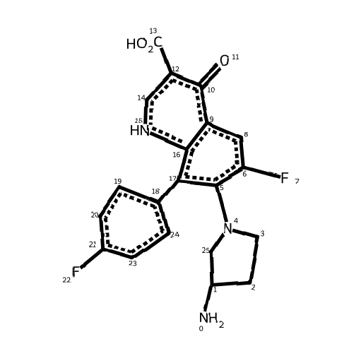 NC1CCN(c2c(F)cc3c(=O)c(C(=O)O)c[nH]c3c2-c2ccc(F)cc2)C1